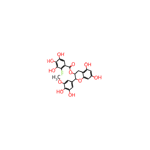 COc1cc(C2Oc3cc(O)cc(O)c3CC2OC(=O)c2cc(O)c(O)c(O)c2F)cc(O)c1O